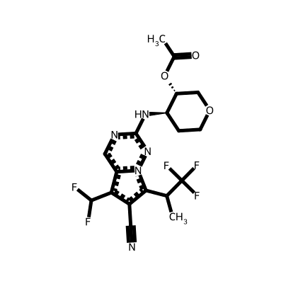 CC(=O)O[C@@H]1COCC[C@H]1Nc1ncc2c(C(F)F)c(C#N)c(C(C)C(F)(F)F)n2n1